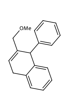 COCC1=CCc2ccccc2C1c1ccccc1